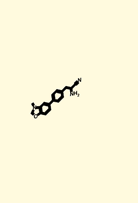 CN1COc2ccc(-c3ccc(CC(N)C#N)cc3)cc21